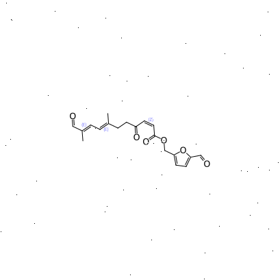 C/C(C=O)=C\C=C(/C)CCC(=O)/C=C\C(=O)OCc1ccc(C=O)o1